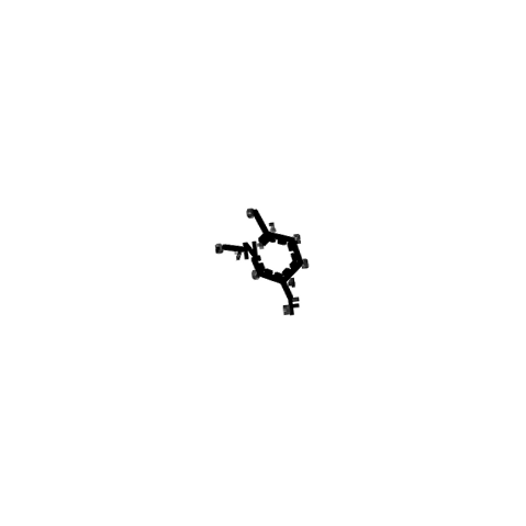 Cc1ccc(F)c[n+]1C